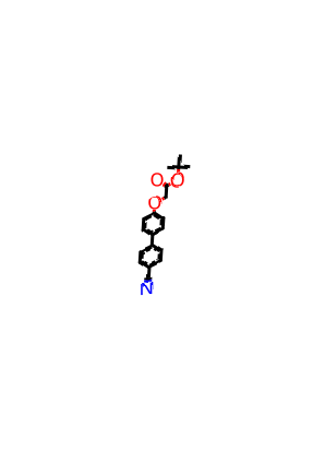 CC(C)(C)OC(=O)COc1ccc(-c2ccc(C#N)cc2)cc1